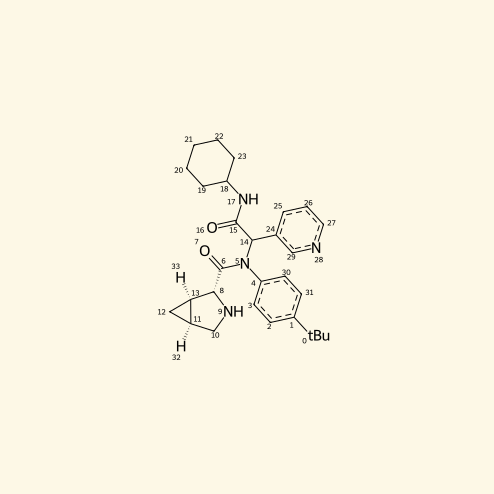 CC(C)(C)c1ccc(N(C(=O)[C@@H]2NC[C@H]3C[C@H]32)C(C(=O)NC2CCCCC2)c2cccnc2)cc1